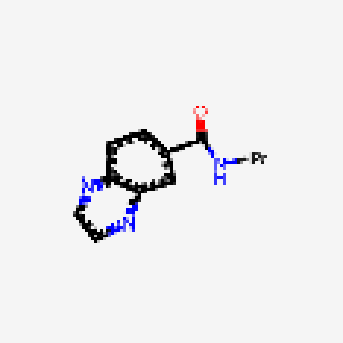 CC(C)NC(=O)c1ccc2nccnc2c1